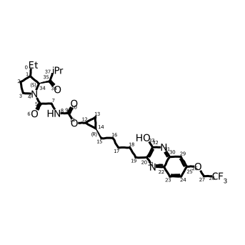 CCC1CCN(C(=O)CNC(=O)OC2C[C@H]2CCCCCc2nc3ccc(OCC(F)(F)F)cc3nc2O)[C@@H]1C(=O)C(C)C